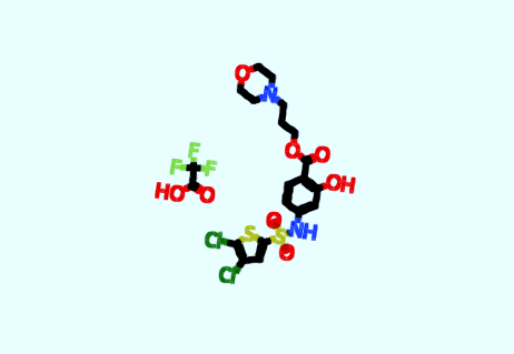 O=C(O)C(F)(F)F.O=C(OCCCN1CCOCC1)c1ccc(NS(=O)(=O)c2cc(Cl)c(Cl)s2)cc1O